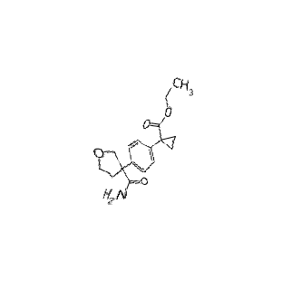 CCOC(=O)C1(c2ccc(C3(C(N)=O)CCOC3)cc2)CC1